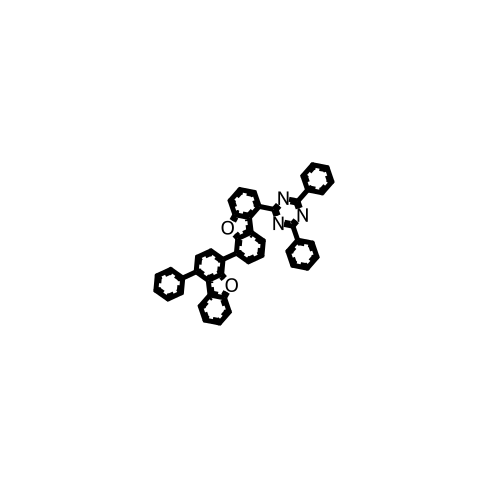 c1ccc(-c2nc(-c3ccccc3)nc(-c3cccc4oc5c(-c6ccc(-c7ccccc7)c7c6oc6ccccc67)cccc5c34)n2)cc1